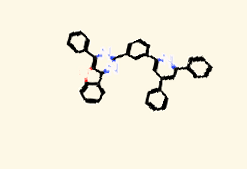 c1ccc(-c2cc(-c3ccccc3)nc(-c3cccc(-c4nc(-c5ccccc5)c5oc6ccccc6c5n4)c3)c2)cc1